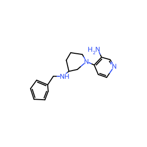 Nc1cnccc1N1CCCC(NCc2ccccc2)C1